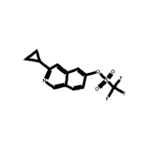 O=S(=O)(Oc1ccc2cnc(C3CC3)cc2c1)C(F)(F)F